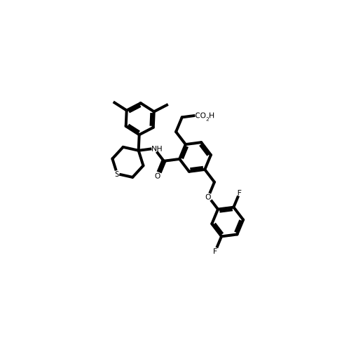 Cc1cc(C)cc(C2(NC(=O)c3cc(COc4cc(F)ccc4F)ccc3CCC(=O)O)CCSCC2)c1